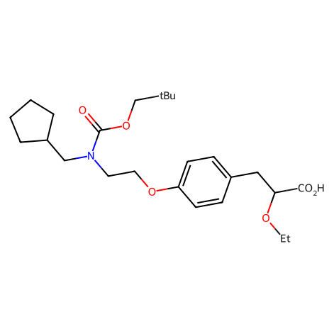 CCOC(Cc1ccc(OCCN(CC2CCCC2)C(=O)OCC(C)(C)C)cc1)C(=O)O